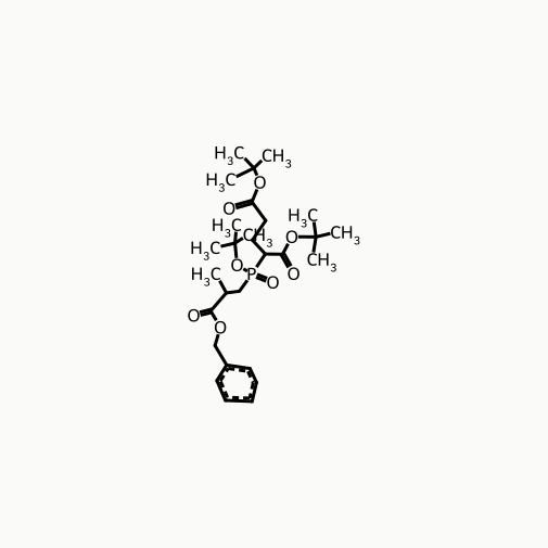 CC(CP(=O)(OC(C)(C)C)C(CCC(=O)OC(C)(C)C)C(=O)OC(C)(C)C)C(=O)OCc1ccccc1